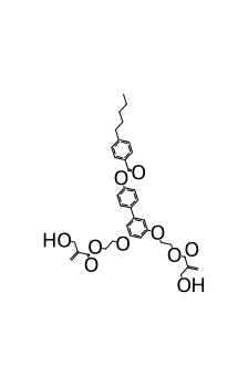 C=C(CO)C(=O)OCCOc1cc(OCCOC(=O)C(=C)CO)cc(-c2ccc(OC(=O)c3ccc(CCCCC)cc3)cc2)c1